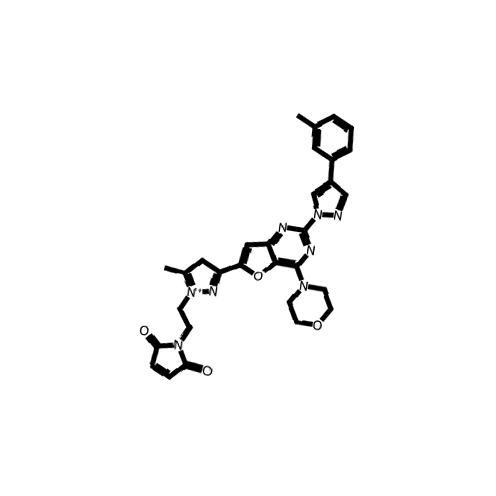 CC1=[N+](CCN2C(=O)C=CC2=O)N=C(c2cc3nc(-n4cc(-c5cccc(C)c5)cn4)nc(N4CCOCC4)c3o2)C1